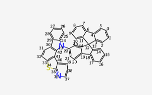 c1ccc2c(c1)-c1ccccc1C21c2ccccc2-c2ccc(-n3c4ccccc4c4ccc5sc6ncccc6c5c43)cc21